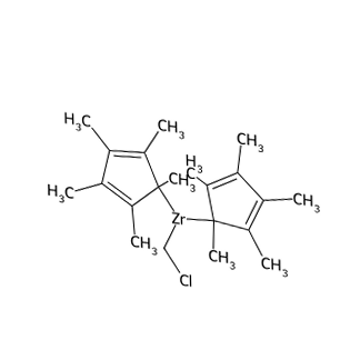 CC1=C(C)[C](C)([Zr]([CH2]Cl)[C]2(C)C(C)=C(C)C(C)=C2C)C(C)=C1C